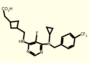 O=C(O)CC1CC(CNc2ncnc(N(Cc3ccc(C(F)(F)F)cc3)C3CC3)c2F)C1